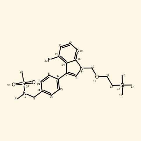 CN(Cc1ccc(-c2cn(COCC[Si](C)(C)C)c3nccc(F)c23)cc1)S(C)(=O)=O